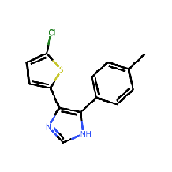 Cc1ccc(-c2[nH]cnc2-c2ccc(Cl)s2)cc1